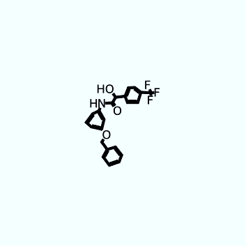 O=C(Nc1cccc(OCc2ccccc2)c1)C(O)c1ccc(C(F)(F)F)cc1